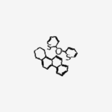 C1=CSC(OC2C=CC=CS2)C=C1.c1ccc2c(c1)ccc1c3c(ccc12)CCCC3